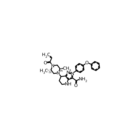 C=CC(=O)N1C[C@@H](C)N(C2CCNc3c2nn(-c2ccc(Oc4ccccc4)cc2)c3C(N)=O)C[C@@H]1C